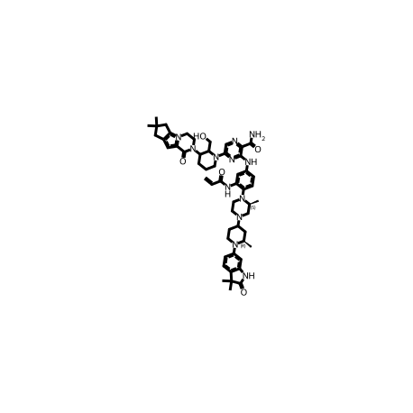 C=CC(=O)Nc1cc(Nc2nc(N3CCCC(N4CCn5c(cc6c5CC(C)(C)C6)C4=O)C3CO)cnc2C(N)=O)ccc1N1CCN(C2CCN(c3ccc4c(c3)NC(=O)C4(C)C)[C@H](C)C2)C[C@@H]1C